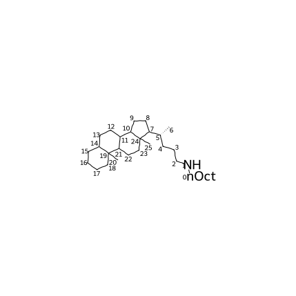 CCCCCCCCNCCC[C@@H](C)C1CCC2C3CCC4CCCCC4(C)C3CCC21C